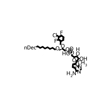 CCCCCCCCCCCCCCCCCCOC[C@H](COP(=O)(O)OCC1O[C@@](C)(c2ccc3c(N)ncnn23)[C@H](O)[C@@H]1O)OCc1ccc(F)c(Cl)c1F